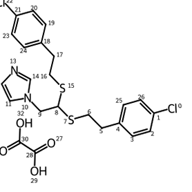 Clc1ccc(CCSC(Cn2ccnc2)SCCc2ccc(Cl)cc2)cc1.O=C(O)C(=O)O